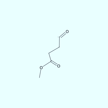 COC(=O)CC[C]=O